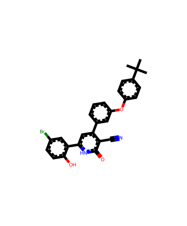 CC(C)(C)c1ccc(Oc2cccc(-c3cc(-c4cc(Br)ccc4O)[nH]c(=O)c3C#N)c2)cc1